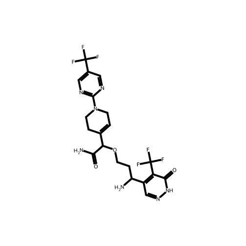 NC(=O)C(OCCC(N)c1cn[nH]c(=O)c1C(F)(F)F)C1=CCN(c2ncc(C(F)(F)F)cn2)CC1